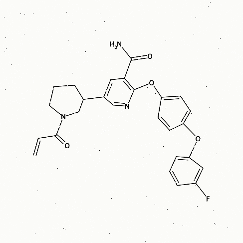 C=CC(=O)N1CCCC(c2cnc(Oc3ccc(Oc4cccc(F)c4)cc3)c(C(N)=O)c2)C1